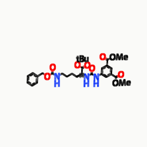 COC(=O)c1cc(NC(=O)N[C@@H](CCCCNC(=O)OCc2ccccc2)C(=O)OC(C)(C)C)cc(C(=O)OC)c1